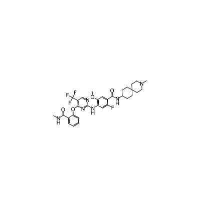 CNC(=O)c1ccccc1Oc1nc(Nc2cc(F)c(C(=O)NC3CCC4(CC3)CCN(C)CC4)cc2OC)ncc1C(F)(F)F